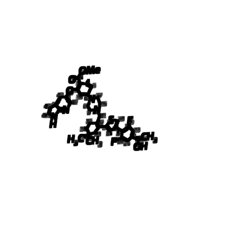 COC(=O)c1ccc(N2CCN(CC3=C(c4cc(-c5c(F)cc([C@H](C)O)cc5F)cs4)CC(C)(C)CC3)CC2)cc1Oc1cnc2[nH]ccc2c1